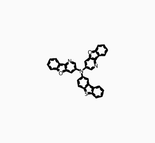 c1ccc2c(c1)oc1cc(N(c3cnc4c(c3)oc3ccccc34)c3ccc4sc5ccccc5c4c3)cnc12